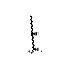 CCCCCCCCCCCCCCCCC[C](N)N.Cl.Cl